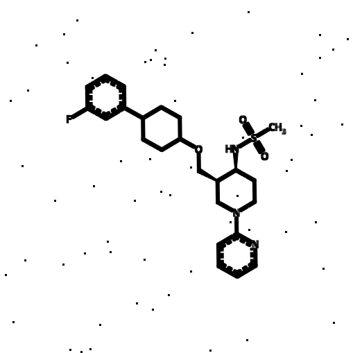 CS(=O)(=O)N[C@H]1CCN(c2ccccn2)C[C@H]1COC1CCC(c2cccc(F)c2)CC1